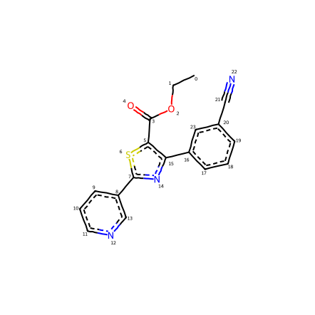 CCOC(=O)c1sc(-c2cccnc2)nc1-c1cccc(C#N)c1